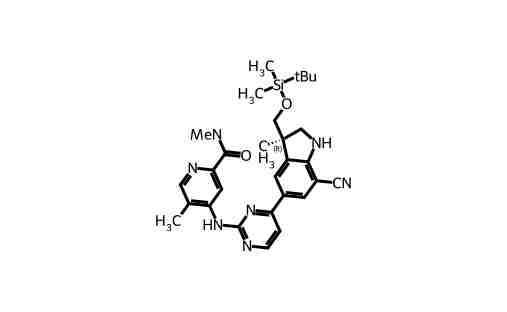 CNC(=O)c1cc(Nc2nccc(-c3cc(C#N)c4c(c3)[C@@](C)(CO[Si](C)(C)C(C)(C)C)CN4)n2)c(C)cn1